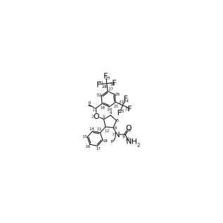 C[C@H](OC1CCC(N(C)C(N)=O)C1c1ccccc1)c1cc(C(F)(F)F)cc(C(F)(F)F)c1